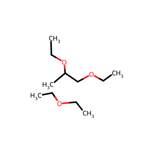 CCOCC.CCOCC(C)OCC